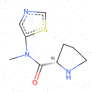 CN(C(=O)[C@@H]1CCCN1)c1cncs1